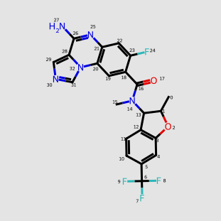 CC1Oc2cc(C(F)(F)F)ccc2C1N(C)C(=O)c1cc2c(cc1F)nc(N)c1cncn12